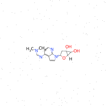 CN(C)/C=N\c1ccnc2c1ccn2[C@H]1C[C@@]2(O)C(O)[C@H]2O1